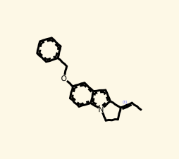 C/C=C1\CCn2c1cc1cc(OCc3ccccc3)ccc12